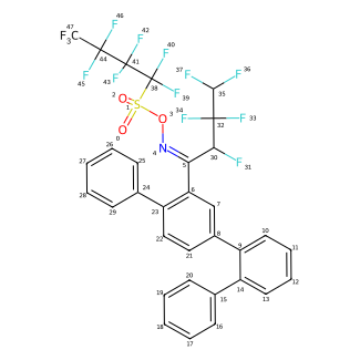 O=S(=O)(ON=C(c1cc(-c2ccccc2-c2ccccc2)ccc1-c1ccccc1)C(F)C(F)(F)C(F)F)C(F)(F)C(F)(F)C(F)(F)C(F)(F)F